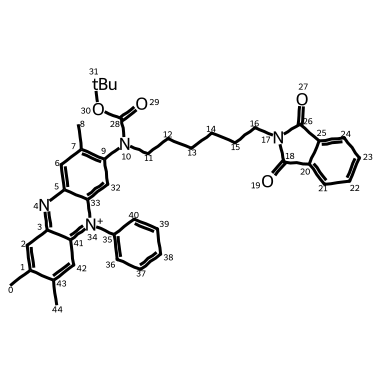 Cc1cc2nc3cc(C)c(N(CCCCCCN4C(=O)c5ccccc5C4=O)C(=O)OC(C)(C)C)cc3[n+](-c3ccccc3)c2cc1C